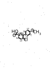 COc1ccc(-c2nc(C(=O)O)ccc2Cl)cc1